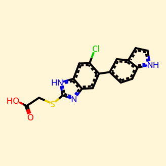 O=C(O)CSc1nc2cc(-c3ccc4[nH]ccc4c3)c(Cl)cc2[nH]1